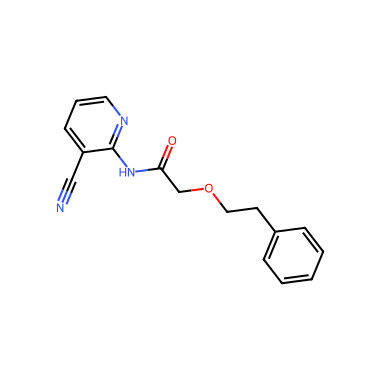 N#Cc1cccnc1NC(=O)COCCc1ccccc1